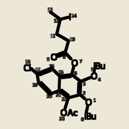 CCC(C)Oc1c(OC(C)CC)c(OC(=O)CCC(C)I)c2cc(Cl)ccc2c1OC(C)=O